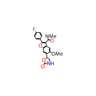 CNC(=O)c1c(-c2ccc(F)cc2)oc2cc(C3CNC(=O)O3)c(OC)cc12